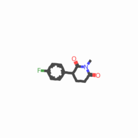 CN1C(=O)CCC(c2ccc(F)cc2)C1=O